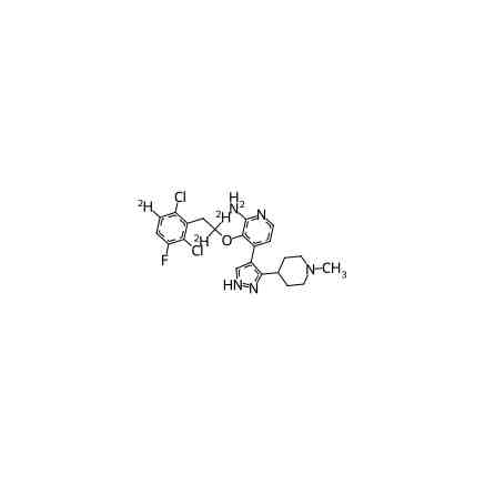 [2H]c1cc(F)c(Cl)c(CC([2H])([2H])Oc2c(-c3c[nH]nc3C3CCN(C)CC3)ccnc2N)c1Cl